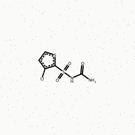 NC(=O)NS(=O)(=O)c1sccc1Cl